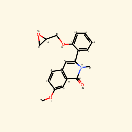 COc1ccc2cc(-c3ccccc3OCC3CO3)n(C)c(=O)c2c1